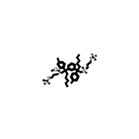 CCCCCC(C[Si](C)(C)CCCS[Si](C)(C)C)(c1ccc(C)cc1)c1cccc(C(CCCCC)(C[Si](C)(CCCS[Si](C)(C)C)OC)c2ccc(C)cc2)c1